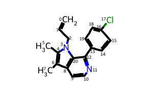 C=CCn1c(C)c(C)c2ccnc(-c3ccc(Cl)cc3)c21